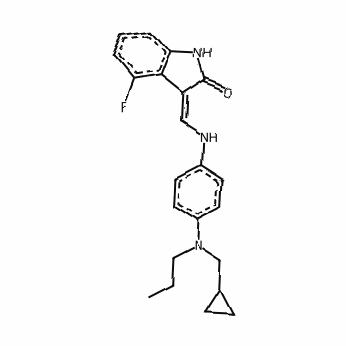 CCCN(CC1CC1)c1ccc(NC=C2C(=O)Nc3cccc(F)c32)cc1